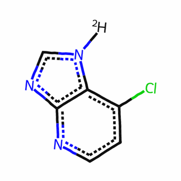 [2H]n1cnc2nccc(Cl)c21